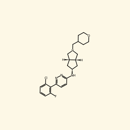 Fc1cccc(Cl)c1-c1ccc(N[C@H]2C[C@@H]3CN(CC4CCOCC4)C[C@@H]3C2)nn1